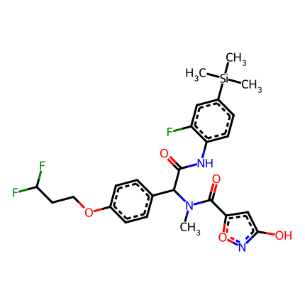 CN(C(=O)c1cc(O)no1)C(C(=O)Nc1ccc([Si](C)(C)C)cc1F)c1ccc(OCCC(F)F)cc1